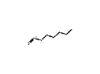 CCCCCN[PH2]=S